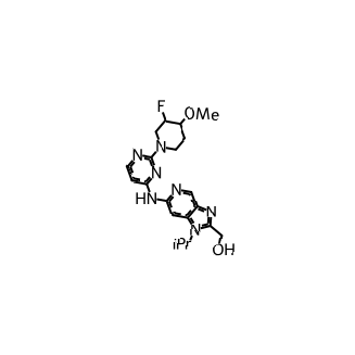 COC1CCN(c2nccc(Nc3cc4c(cn3)nc(CO)n4C(C)C)n2)CC1F